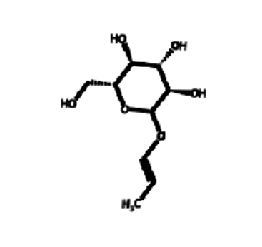 CC=COC1O[C@H](CO)[C@@H](O)[C@H](O)[C@H]1O